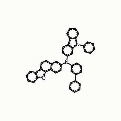 c1ccc(-c2cccc(N(c3ccc4c(ccc5c6ccccc6oc45)c3)c3ccc4c5ccccc5n(-c5ccccc5)c4c3)c2)cc1